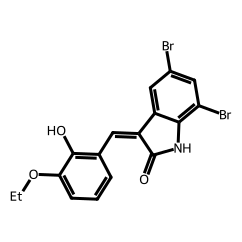 CCOc1cccc(C=C2C(=O)Nc3c(Br)cc(Br)cc32)c1O